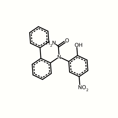 NC(=O)N(c1cc([N+](=O)[O-])ccc1O)c1ccccc1-c1ccccc1